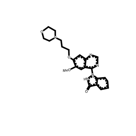 COc1cc2c(-n3[nH]c(=O)c4ccccc43)ncnc2cc1OCCCN1CCOCC1